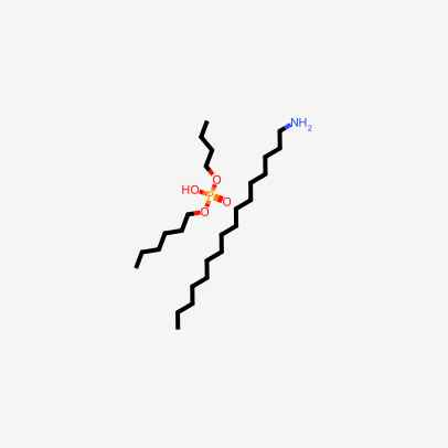 CCCCCCCCCCCCCCCCN.CCCCCCOP(=O)(O)OCCCC